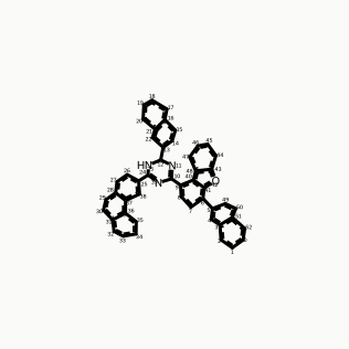 c1ccc2cc(-c3ccc(C4=NC(c5ccc6ccccc6c5)NC(c5ccc6ccc7ccccc7c6c5)=N4)c4c3oc3ccccc34)ccc2c1